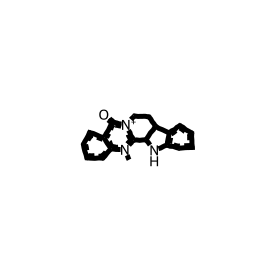 Cn1c2[n+](c(=O)c3ccccc31)CCC1c3ccccc3NC21